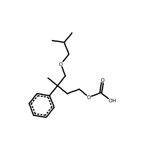 CC(C)COCC(C)(CCOC(=O)O)c1ccccc1